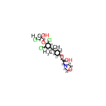 CC(O)(CCl)COc1c(Cl)cc(C(C)(C)c2ccc(OC[C@H](O)CN3CCOCC3)cc2)cc1Cl